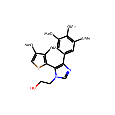 COc1cc(-c2ncn(CCO)c2-c2scc(OC)c2OC)cc(OC)c1OC